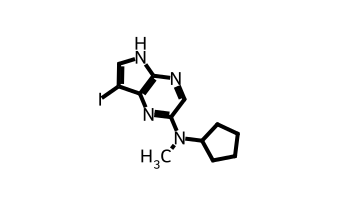 CN(c1cnc2[nH]cc(I)c2n1)C1CCCC1